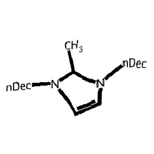 CCCCCCCCCCN1C=CN(CCCCCCCCCC)C1C